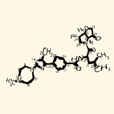 Cc1sc(N2CCN(C)CC2)nc1-c1ccc(C(=O)NC(CC(C)C)C(=O)N2C[C@H](F)[C@H]3OCC(=O)[C@H]32)cc1